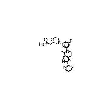 CC1c2cnc(-c3ncccn3)nc2CCN1c1cc(F)cc(N2CCOC(CC(=O)O)C2)n1